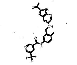 CC(=O)c1cc2cc(NCc3cc(NC(=O)c4cncc(C(F)(F)F)c4)ccc3C)cnc2[nH]1